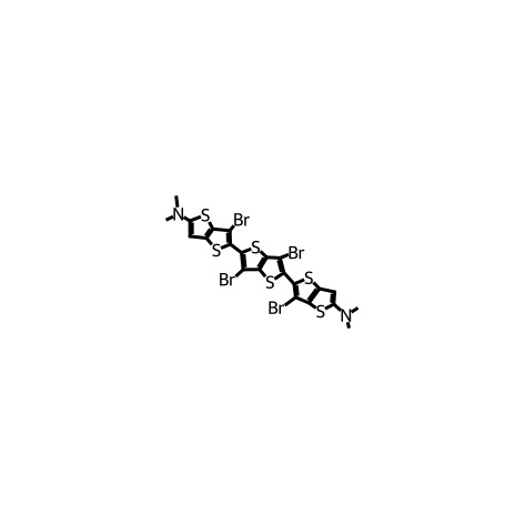 CN(C)c1cc2sc(-c3sc4c(Br)c(-c5sc6cc(N(C)C)sc6c5Br)sc4c3Br)c(Br)c2s1